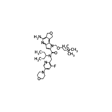 CCC(CC)N(Cc1ncc(N2CCOCC2)cc1F)C(=O)c1cc2nc(N)c3c(c2n1COCC[Si](C)(C)C)COC3